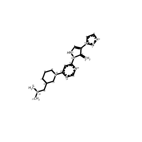 C=C1C(n2ccnn2)=CNN1c1cc(N2CCCC(CN(C)C)C2)ncn1